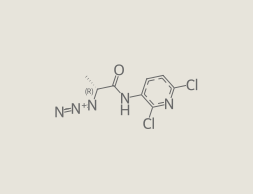 C[C@@H](N=[N+]=[N-])C(=O)Nc1ccc(Cl)nc1Cl